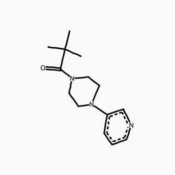 CC(C)(C)C(=O)N1CCN(c2cccnc2)CC1